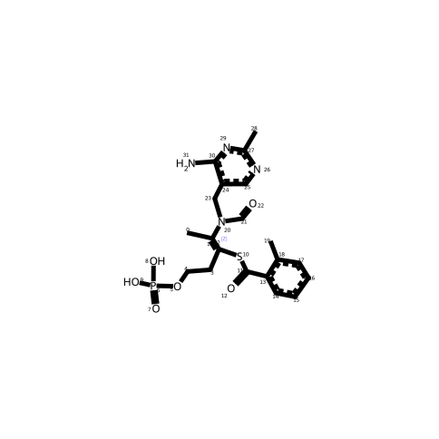 C/C(=C(\CCOP(=O)(O)O)SC(=O)c1ccccc1C)N(C=O)Cc1cnc(C)nc1N